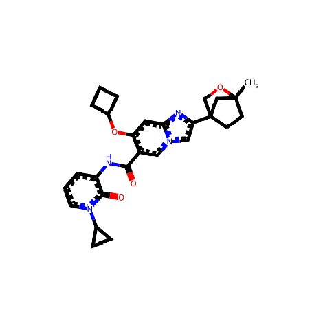 CC12CCC(c3cn4cc(C(=O)Nc5cccn(C6CC6)c5=O)c(OC5CCC5)cc4n3)(CO1)C2